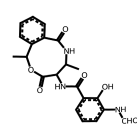 CC1OC(=O)C(NC(=O)c2cccc(NC=O)c2O)C(C)NC(=O)c2ccccc21